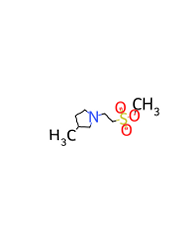 COS(=O)(=O)CCN1CCC(C)C1